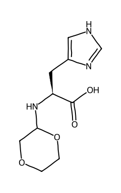 O=C(O)[C@H](Cc1c[nH]cn1)NC1COCCO1